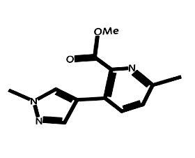 COC(=O)c1nc(C)ccc1-c1cnn(C)c1